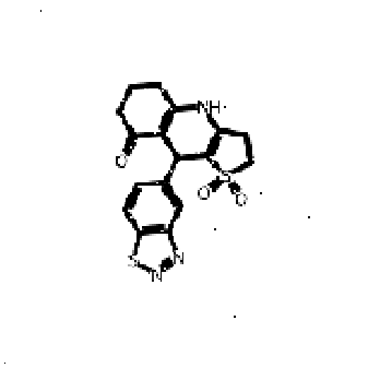 O=C1CCCC2=C1C(c1ccc3snnc3c1)C1=C(CCS1(=O)=O)N2